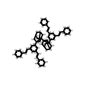 C(=C\c1cc(/C=C/c2ccccc2)cc(C23CC4CC(C2)CC(C25CC6CC(CC(c7cc(/C=C/c8ccccc8)cc(/C=C/c8ccccc8)c7)(C6)C2)C5)(C4)C3)c1)/c1ccccc1